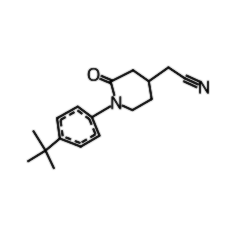 CC(C)(C)c1ccc(N2CCC(CC#N)CC2=O)cc1